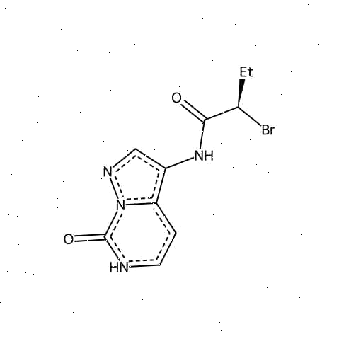 CC[C@@H](Br)C(=O)Nc1cnn2c(=O)[nH]ccc12